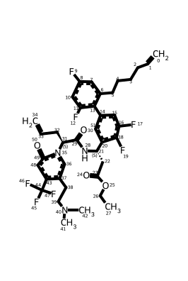 C=CCCCCc1cc(F)cc(F)c1-c1cc(F)c(F)c([C@H](CC(=O)OCC)NC(=O)[C@H](CC=C)n2cc(CCN(C)C)c(C(F)(F)F)cc2=O)c1